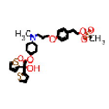 CN(CCCOc1ccc(CCOS(C)(=O)=O)cc1)[C@H]1CC[C@H](OC(=O)C(O)(c2cccs2)c2cccs2)CC1